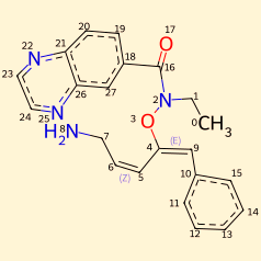 CCN(OC(/C=C\CN)=C/c1ccccc1)C(=O)c1ccc2nccnc2c1